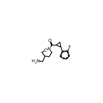 NCC1CCN(C(=O)C2CC2c2ccccc2F)CC1